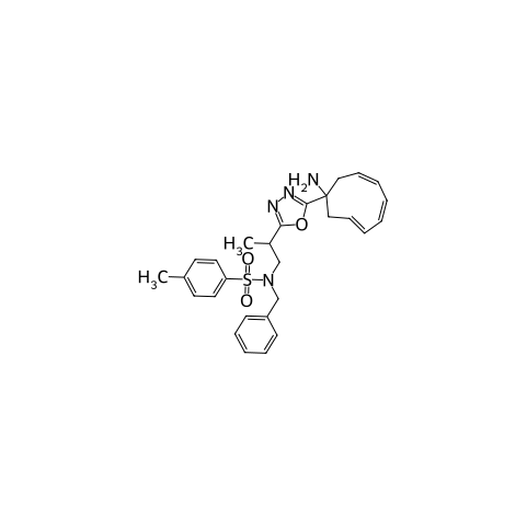 Cc1ccc(S(=O)(=O)N(Cc2ccccc2)CC(C)c2nnc(C3(N)CC=C/C=C\C=C\C3)o2)cc1